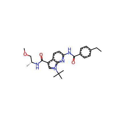 CCc1ccc(C(=O)Nc2ccc3c(C(=O)N[C@H](C)COC)cn(C(C)(C)C)c3n2)cc1